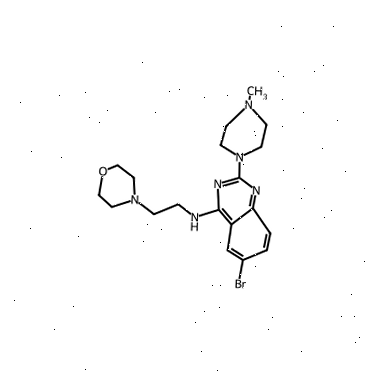 CN1CCN(c2nc(NCCN3CCOCC3)c3cc(Br)ccc3n2)CC1